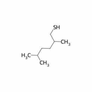 CC(C)CCC(C)CS